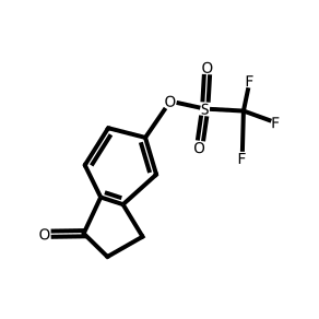 O=C1CCc2cc(OS(=O)(=O)C(F)(F)F)ccc21